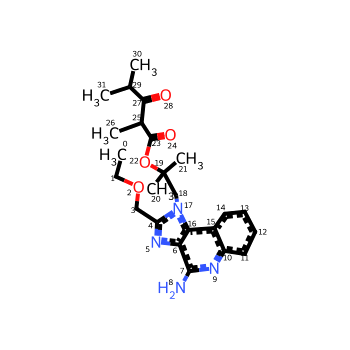 CCOCc1nc2c(N)nc3ccccc3c2n1CC(C)(C)OC(=O)C(C)C(=O)C(C)C